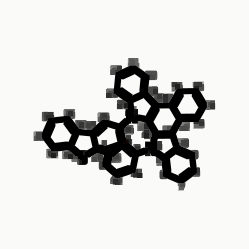 c1ccc(-n2c3ccccc3c3c4ccccc4c4c5ccccc5n(-c5ccc6sc7ccccc7c6c5)c4c32)cc1